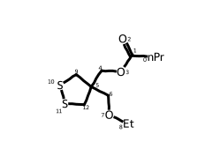 CCCC(=O)OCC1(COCC)CSSC1